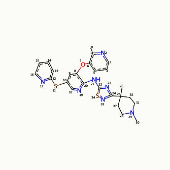 Cc1ncccc1Oc1cc(Sc2ccccn2)cnc1Nc1nc(C2(C)CCN(C)CC2)ns1